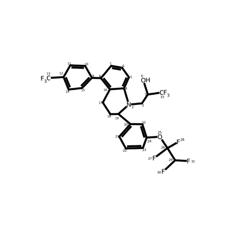 OC(CN1c2cccc(-c3ccc(C(F)(F)F)cc3)c2CCC1c1cccc(OC(F)(F)C(F)F)c1)C(F)(F)F